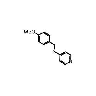 COc1ccc(CSc2c[c]ncc2)cc1